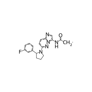 [CH2]C(=O)Nc1cnc2ccc(N3CCCC3c3cccc(F)c3)nn12